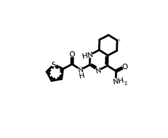 NC(=O)C1=C2C[C]CCC2NC(NC(=O)c2cccs2)=N1